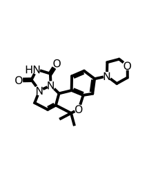 CC1(C)Oc2cc(N3CCOCC3)ccc2C2C1=CCn1c(=O)[nH]c(=O)n12